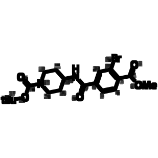 COC(=O)c1ccc(C(=O)NC2CCN(C(=O)OC(C)(C)C)CC2)cc1Br